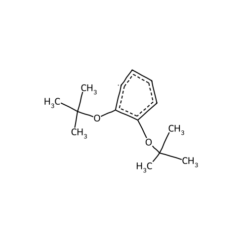 CC(C)(C)Oc1[c]cccc1OC(C)(C)C